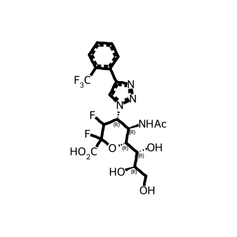 CC(=O)N[C@H]1[C@H]([C@H](O)[C@H](O)CO)OC(F)(C(=O)O)C(F)[C@@H]1n1cc(-c2ccccc2C(F)(F)F)nn1